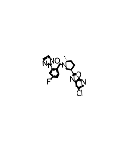 C[C@@H]1CC[C@@H](c2nc3cc(Cl)cnc3o2)CN1C(=O)c1ccc(F)cc1-n1nccn1